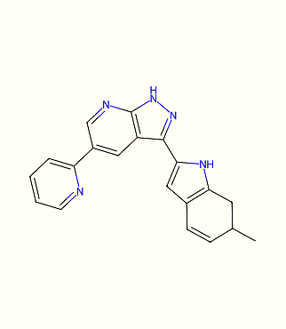 CC1C=Cc2cc(-c3n[nH]c4ncc(-c5ccccn5)cc34)[nH]c2C1